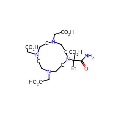 CCC(C(N)=O)(C(=O)O)N1CCN(CC(=O)O)CCN(CC(=O)O)CCN(CC(=O)O)CC1